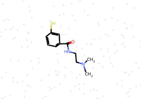 CN(C)CCNC(=O)c1cccc(S)c1